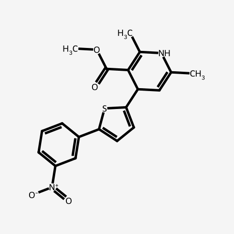 COC(=O)C1=C(C)NC(C)=CC1c1ccc(-c2cccc([N+](=O)[O-])c2)s1